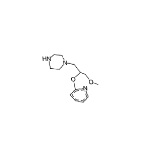 COCC(CN1CCNCC1)Oc1ccccn1